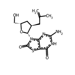 C=C(C)C[C@@H]1C[C@@H](CO)O[C@H]1n1c(=O)sc2c(=O)[nH]c(N)nc21